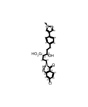 Cn1cc(-c2ccc(CC[C@@H](O)[C@H](CCn3nnc4cc(Cl)ccc4c3=O)C(=O)O)cc2)cn1